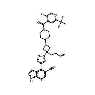 C=NCCC1(n2cc(-c3c(C#N)cnc4[nH]ccc34)cn2)CN(C2CCN(C(=O)c3cc(C(F)(F)F)ncc3F)CC2)C1